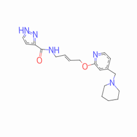 O=C(NCC=CCOc1cc(CN2CCCCC2)ccn1)c1cc[nH]n1